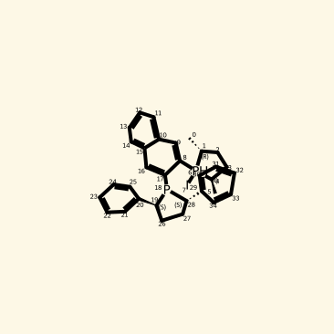 C[C@@H]1CC[C@@H](C)[PH]1(I)c1cc2ccccc2cc1P1[C@H](c2ccccc2)CC[C@H]1c1ccccc1